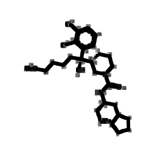 CNC[C@H](CC1CCCC1)NC(=O)N1CCC[C@@H]([C@@](O)(CCCCOC)c2cccc(Cl)c2Cl)C1